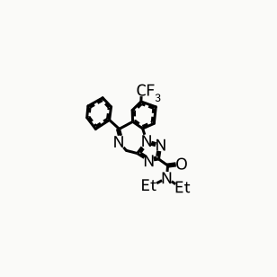 CCN(CC)C(=O)c1nc2n(n1)-c1ccc(C(F)(F)F)cc1C(c1ccccc1)=NC2